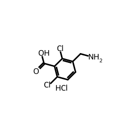 Cl.NCc1ccc(Cl)c(C(=O)O)c1Cl